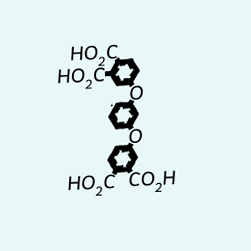 O=C(O)c1ccc(Oc2[c]ccc(Oc3ccc(C(=O)O)c(C(=O)O)c3)c2)cc1C(=O)O